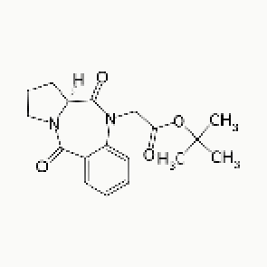 CC(C)(C)OC(=O)CN1C(=O)[C@@H]2CCCN2C(=O)c2ccccc21